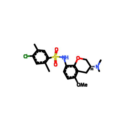 COc1ccc(NS(=O)(=O)c2cc(C)c(Cl)cc2C)c2c1C[C@@H](N(C)C)CO2